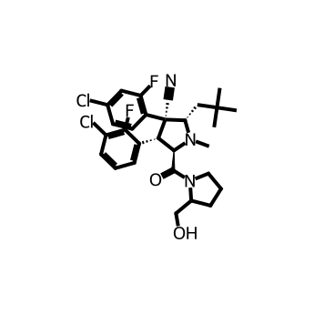 CN1[C@@H](CC(C)(C)C)[C@](C#N)(c2ccc(Cl)cc2F)[C@@H](c2cccc(Cl)c2F)[C@@H]1C(=O)N1CCCC1CO